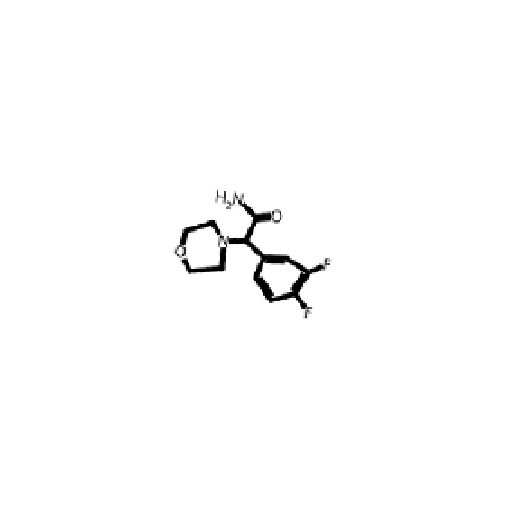 NC(=O)C(c1ccc(F)c(F)c1)N1CCOCC1